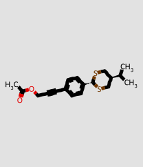 CC(=O)OCC#Cc1ccc([C@H]2SC[C@H](C(C)C)CS2)cc1